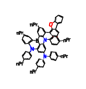 CCCc1ccc(N(c2ccc(CCC)cc2)c2cc3c4c(c2)N(c2ccc(CCC)cc2)c2c(cc(CCC)cc2-c2cccc5c2oc2ccccc25)B4c2cc(CCC)ccc2N3c2ccc(CCC)cc2)cc1